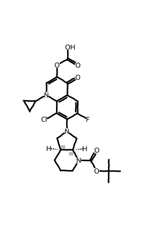 CC(C)(C)OC(=O)N1CCC[C@H]2CN(c3c(F)cc4c(=O)c(OC(=O)O)cn(C5CC5)c4c3Cl)C[C@H]21